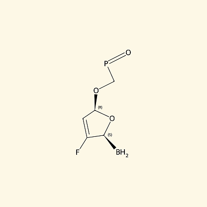 B[C@@H]1O[C@H](OCP=O)C=C1F